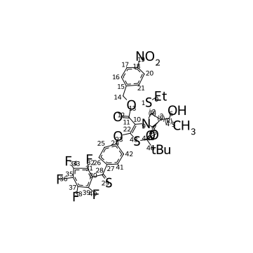 CCS[C@@H]1[C@@H]([C@@H](C)O)C(=O)N1C(C(=O)OCc1ccc([N+](=O)[O-])cc1)=C(Oc1ccc(C(=S)c2c(F)c(F)c(F)c(F)c2F)cc1)SC(=O)C(C)(C)C